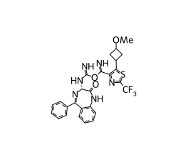 COC1CC(c2sc(C(F)(F)F)nc2C(=N)OC(=N)N[C@H]2N=C(c3ccccc3)c3ccccc3NC2=O)C1